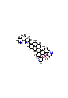 O=P(c1ccncc1)(c1ccncc1)c1c2ccccc2c(-c2ccc3ccc4c(-c5ccc6ccc7cccnc7c6n5)ccc5ccc2c3c54)c2ccccc12